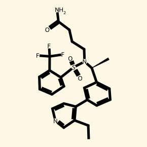 CCc1cnccc1-c1cccc([C@H](C)N(CCCC(N)=O)S(=O)(=O)c2ccccc2C(F)(F)F)c1